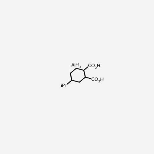 CC(C)C1CCC(C(=O)O)C(C(=O)O)C1.[AlH3]